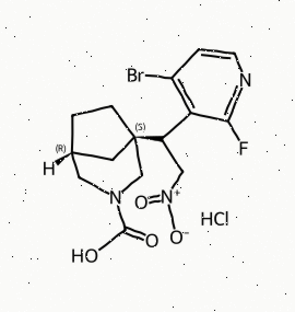 Cl.O=C(O)N1C[C@@H]2CC[C@@](C(C[N+](=O)[O-])c3c(Br)ccnc3F)(C2)C1